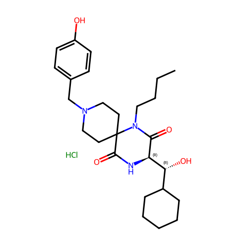 CCCCN1C(=O)[C@@H]([C@H](O)C2CCCCC2)NC(=O)C12CCN(Cc1ccc(O)cc1)CC2.Cl